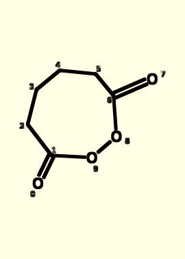 O=C1CCCCC(=O)OO1